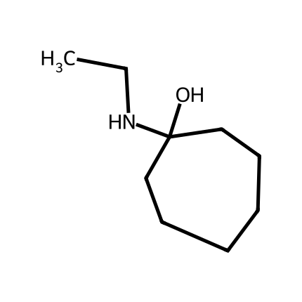 CCNC1(O)CCCCCC1